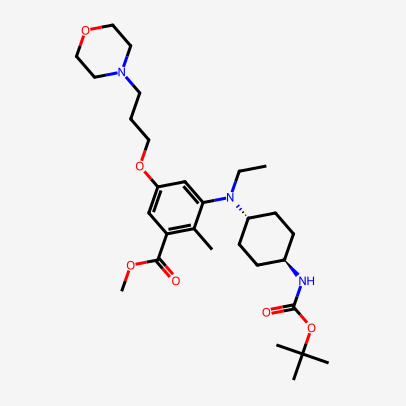 CCN(c1cc(OCCCN2CCOCC2)cc(C(=O)OC)c1C)[C@H]1CC[C@H](NC(=O)OC(C)(C)C)CC1